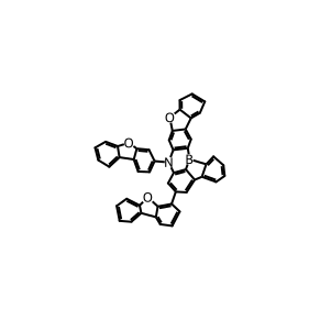 c1ccc2c(c1)B1c3cc4c(cc3N(c3ccc5c(c3)oc3ccccc35)c3cc(-c5cccc6c5oc5ccccc56)cc-2c31)oc1ccccc14